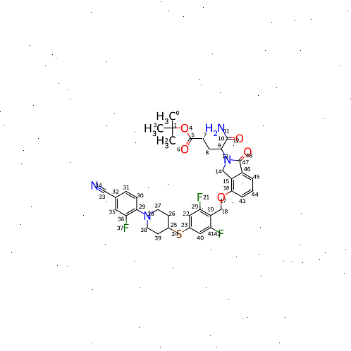 CC(C)(C)OC(=O)CCC(C(N)=O)N1Cc2c(OCc3c(F)cc(SC4CCN(c5ccc(C#N)cc5F)CC4)cc3F)cccc2C1=O